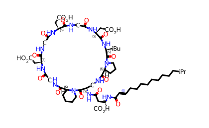 CCC(C)[C@@H]1NC(=O)[C@H](CC(=O)O)NC(=O)CNC(=O)[C@H](CC(=O)O)NC(=O)CNC(=O)[C@H](CC(=O)O)NC(=O)CNC(=O)[C@@H]2CCCCN2C(=O)[C@@H](NC(=O)C[C@H](NC(=O)/C=C/CCCCCCCCCC(C)C)C(=O)O)CNC(=O)[C@@H]2CCCN2C1=O